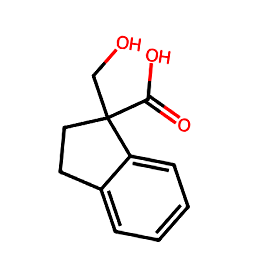 O=C(O)C1(CO)CCc2ccccc21